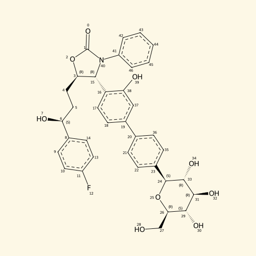 O=C1O[C@H](CC[C@H](O)c2ccc(F)cc2)[C@@H](c2ccc(-c3ccc([C@@H]4O[C@H](CO)[C@@H](O)[C@H](O)[C@H]4O)cc3)cc2O)N1c1ccccc1